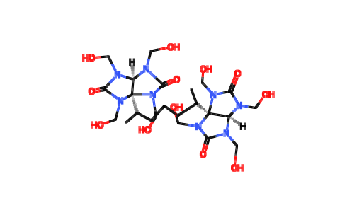 CC(CCCC(C)[C@]12[C@H](N(CO)C(=O)N1CO)N(CO)C(=O)N2CO)[C@]12[C@H](N(CO)C(=O)N1CO)N(CO)C(=O)N2CO